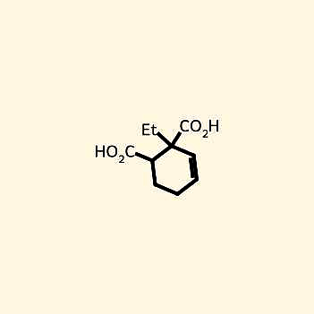 CCC1(C(=O)O)C=CCCC1C(=O)O